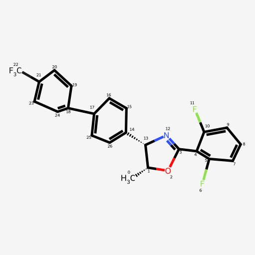 C[C@H]1OC(c2c(F)cccc2F)=N[C@H]1c1ccc(-c2ccc(C(F)(F)F)cc2)cc1